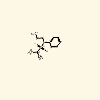 CCCN(c1ccccc1)S(=O)(=O)C(C)C